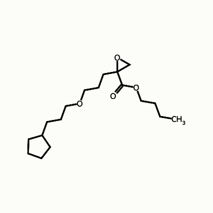 CCCCOC(=O)C1(CCCOCCCC2CCCC2)CO1